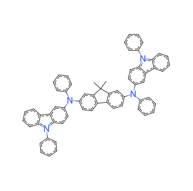 CC1(C)c2cc(N(c3ccccc3)c3ccc4c(c3)c3ccccc3n4-c3ccccc3)ccc2-c2ccc(N(c3ccccc3)c3ccc4c(c3)c3ccccc3n4-c3ccccc3)cc21